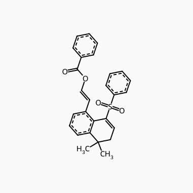 CC1(C)CC=C(S(=O)(=O)c2ccccc2)c2c(C=COC(=O)c3ccccc3)cccc21